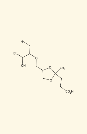 [2H]CC(OCC1COC(C)(CCC(=O)O)O1)C(O)CC